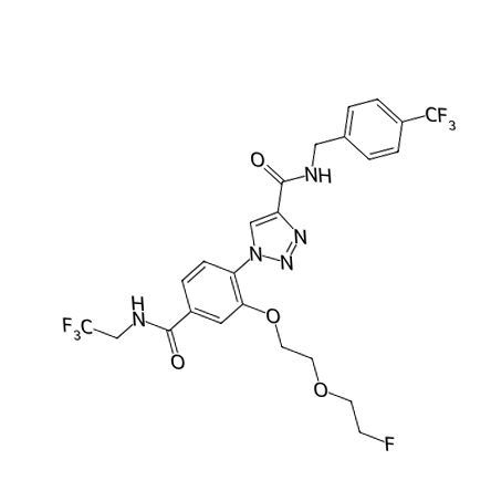 O=C(NCC(F)(F)F)c1ccc(-n2cc(C(=O)NCc3ccc(C(F)(F)F)cc3)nn2)c(OCCOCCF)c1